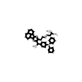 C=C(c1ccc(N(c2ccccc2)c2ccccc2)cc1)c1nc2c(nc1CC/N=N/CC(C)C)-c1cccc3cccc-2c13